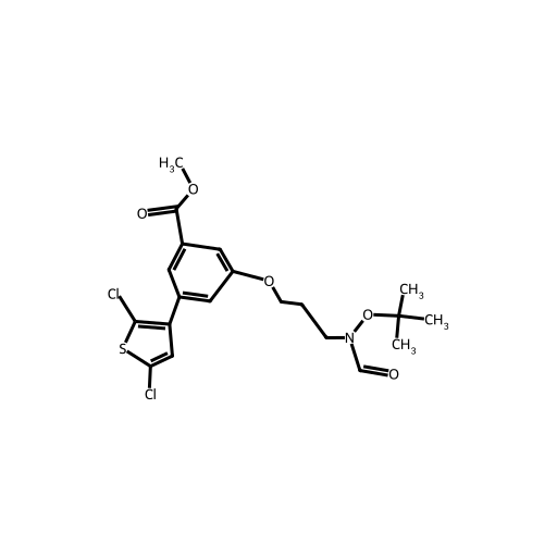 COC(=O)c1cc(OCCCN(C=O)OC(C)(C)C)cc(-c2cc(Cl)sc2Cl)c1